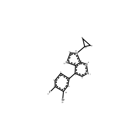 Fc1ccc(-c2cnnc3c2ncn3C2CC2)cc1Br